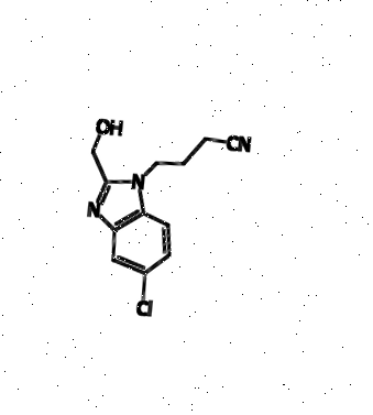 N#CCCCn1c(CO)nc2cc(Cl)ccc21